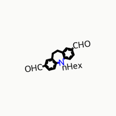 CCCCCCN1c2ccc(C=O)cc2CCc2cc(C=O)ccc21